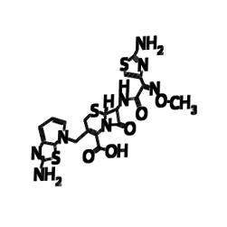 CO/N=C(\C(=O)NC1C(=O)N2C(C(=O)O)=C(CN3C=CC=C4N=C(N)SC43)CS[C@H]12)c1csc(N)n1